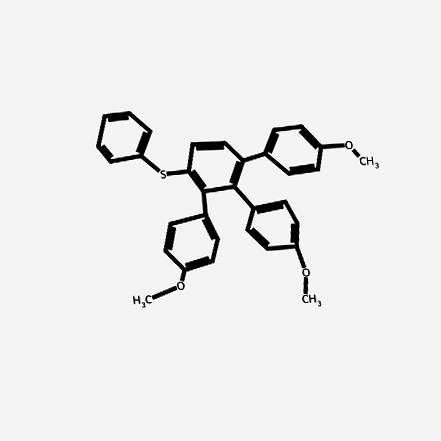 COc1ccc(-c2ccc(Sc3ccccc3)c(-c3ccc(OC)cc3)c2-c2ccc(OC)cc2)cc1